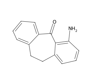 Nc1cccc2c1C(=O)c1ccccc1CC2